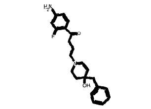 Nc1ccc(C(=O)CCCN2CCC(O)(Cc3ccccc3)CC2)c(F)c1